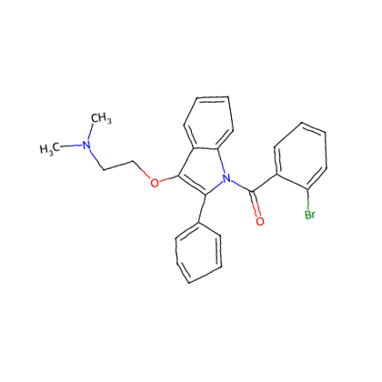 CN(C)CCOc1c(-c2ccccc2)n(C(=O)c2ccccc2Br)c2ccccc12